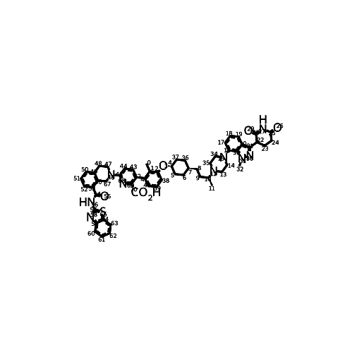 Cc1c(O[C@H]2CC[C@H](CC[C@H](C)N3CCN(c4cccc5c(C6CCC(=O)NC6=O)nn(C)c45)CC3)CC2)cccc1-c1ccc(N2CCc3cccc(C(=O)Nc4nc5ccccc5s4)c3C2)nc1C(=O)O